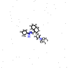 CN(C)C1=CC(c2ccc3ccccc3c2C=NNc2ccccc2)C=C1